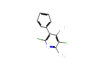 N#Cc1nc(Cl)c(-c2ccccc2)c(Cl)c1Br